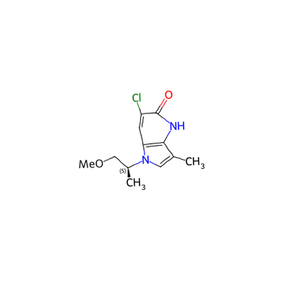 COC[C@H](C)n1cc(C)c2[nH]c(=O)c(Cl)cc21